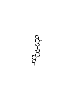 Cc1cc2c(ccc3c4cc(-c5cc6c(C)c7sc(C)cc7c(C)c6s5)sc4ccc23)s1